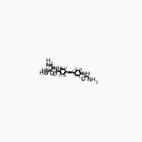 NCC(=O)Nc1ccc(C#Cc2ccc(C(=O)NC(CN)C(=O)NO)cc2)cc1